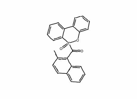 Cc1ccc2ccccc2c1C(=O)P1(=O)Oc2ccccc2-c2ccccc21